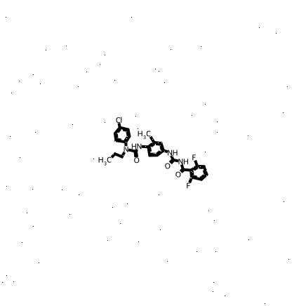 CCCN(C(=O)Nc1ccc(NC(=O)NC(=O)c2c(F)cccc2F)cc1C)c1ccc(Cl)cc1